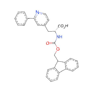 O=C(N[C@H](Cc1ccnc(-c2ccccc2)c1)C(=O)O)OCC1c2ccccc2-c2ccccc21